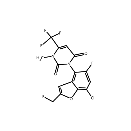 Cn1c(C(F)(F)F)cc(=O)n(-c2c(F)cc(Cl)c3oc(CF)cc23)c1=O